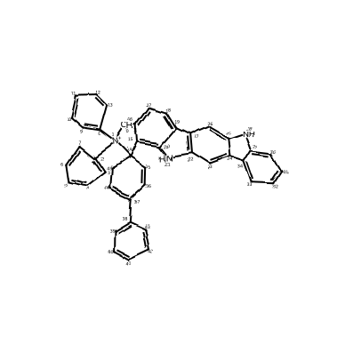 C[N+](c1ccccc1)(c1ccccc1)C1(c2cccc3c2[nH]c2cc4c(cc23)[nH]c2ccccc24)C=CC(c2ccccc2)=CC1